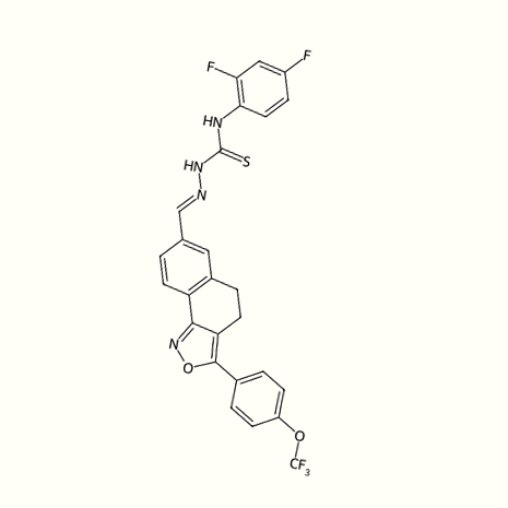 Fc1ccc(NC(=S)NN=Cc2ccc3c(c2)CCc2c-3noc2-c2ccc(OC(F)(F)F)cc2)c(F)c1